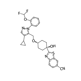 N#Cc1ccc2nc([C@]3(O)CC[C@@H](OCc4c(C5CC5)cnn4-c4ccccc4OC(F)F)CC3)sc2c1